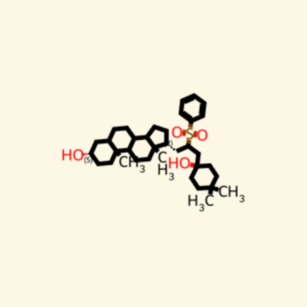 CC1(C)CCC(O)(CC(C[C@H]2CCC3C4CCC5C[C@@H](O)CCC5(C)C4CCC32C)S(=O)(=O)c2ccccc2)CC1